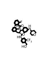 Cc1cccc(F)c1C(=O)N1c2ccccc2C[C@H](C(=O)Nc2ccc(CO)c(C(F)(F)F)c2)C1c1ccc(NC2CCOCC2)cc1